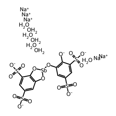 O.O.O.O.O.O.O.O=S(=O)([O-])c1cc([O][Sb]2[O]c3cc(S(=O)(=O)[O-])cc(S(=O)(=O)[O-])c3[O]2)c([O-])c(S(=O)(=O)[O-])c1.[Na+].[Na+].[Na+].[Na+].[Na+]